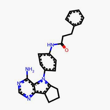 Nc1ncnc2c3c(n(-c4ccc(NC(=O)CCc5ccccc5)cc4)c12)CCC3